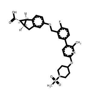 Cc1nc(OC2CCN(S(C)(=O)=O)CC2)ccc1-c1ccc(F)c(COc2ccc3c(c2)C[C@H]2[C@H](C(=O)O)[C@@H]32)c1